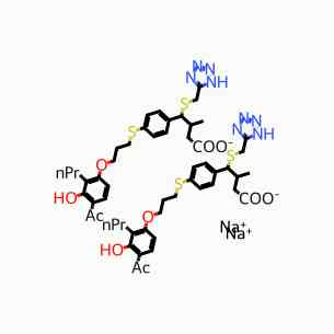 CCCc1c(OCCCSc2ccc(C(SCc3nnn[nH]3)C(C)CC(=O)[O-])cc2)ccc(C(C)=O)c1O.CCCc1c(OCCCSc2ccc(C(SCc3nnn[nH]3)C(C)CC(=O)[O-])cc2)ccc(C(C)=O)c1O.[Na+].[Na+]